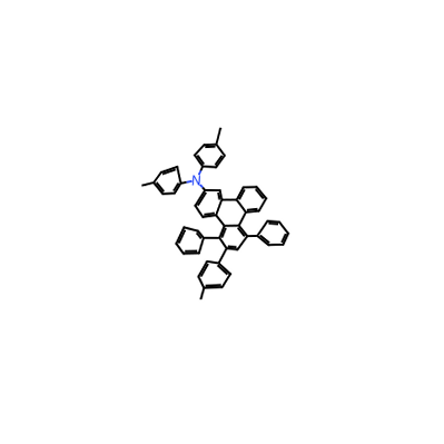 Cc1ccc(-c2cc(-c3ccccc3)c3c4ccccc4c4cc(N(c5ccc(C)cc5)c5ccc(C)cc5)ccc4c3c2-c2ccccc2)cc1